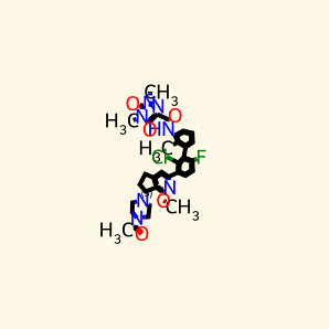 COc1nc(-c2ccc(F)c(-c3cccc(NC(=O)c4nn(C)c(=O)n(C)c4=O)c3C)c2Cl)cc2c1[C@@H](N1CCN(C(C)=O)CC1)CC2